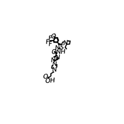 CCC1CCCN1Cc1sc(NC(=O)c2cnc(N3CCN(CCCC(=O)O)CC3)cn2)nc1-c1ccc(OC)c(C(F)(F)F)c1